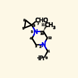 C[C](C)CN1CCN(C2(C=O)CC2)[C@H](C)C1